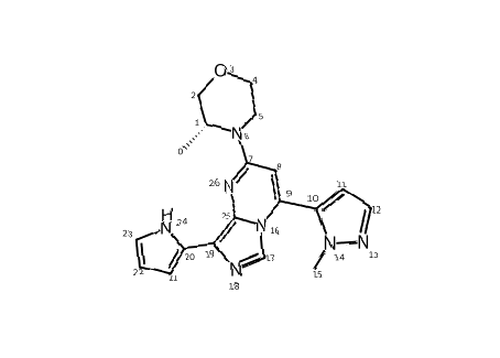 C[C@@H]1COCCN1c1cc(-c2ccnn2C)n2cnc(-c3ccc[nH]3)c2n1